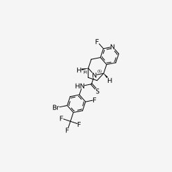 Fc1cc(C(F)(F)F)c(Br)cc1NC(=S)N1[C@@H]2CC[C@H]1c1ccnc(F)c1C2